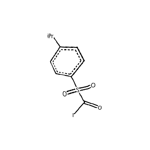 CC(C)c1ccc(S(=O)(=O)C(=O)I)cc1